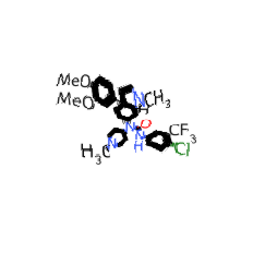 COc1ccc([C@@]23CC[C@@H](N(C(=O)Nc4ccc(Cl)c(C(F)(F)F)c4)C4CCN(C)CC4)C[C@@H]2N(C)CC3)cc1OC